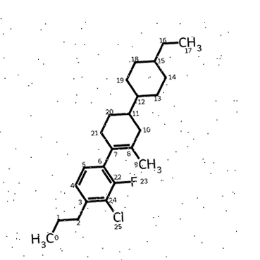 CCCc1ccc(C2=C(C)CC(C3CCC(CC)CC3)CC2)c(F)c1Cl